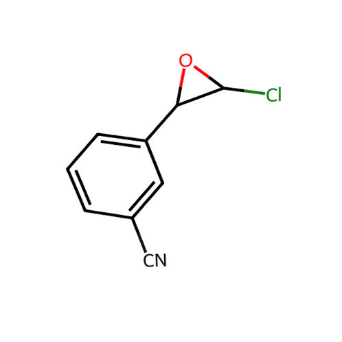 N#Cc1cccc(C2OC2Cl)c1